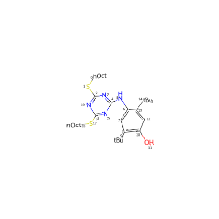 CCCCCCCCSc1nc(Nc2cc(C(C)(C)C)c(O)cc2C(C)(C)C)nc(SCCCCCCCC)n1